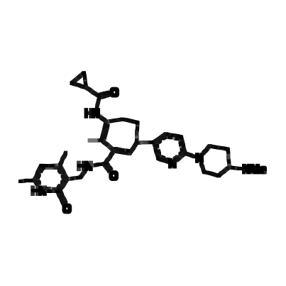 CNC1CCN(c2ccc(C3C=C(C(=O)NCc4c(C)cc(C)[nH]c4=O)C(C)=C(NC(=O)C4CC4)CC3)cn2)CC1